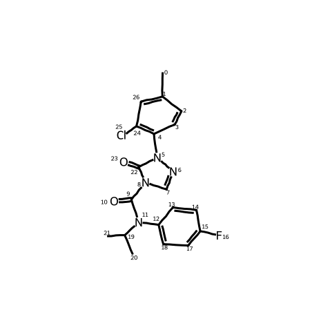 Cc1ccc(-n2ncn(C(=O)N(c3ccc(F)cc3)C(C)C)c2=O)c(Cl)c1